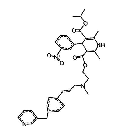 CC1=C(C(=O)OCCN(C)CC=Cc2ccc(Cc3cccnc3)cc2)C(c2cccc([N+](=O)[O-])c2)C(C(=O)OC(C)C)=C(C)N1